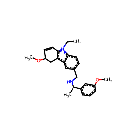 CCn1c2c(c3cc(CN[C@H](C)c4cccc(OC)c4)ccc31)CC(OC)C=C2